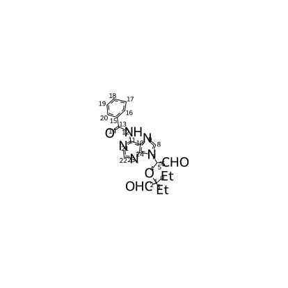 CCC(C=O)(CC)O[C@H](C=O)n1cnc2c(NC(=O)c3ccccc3)ncnc21